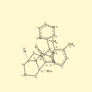 Cc1cccc(C(=O)N2[C@H]3COC[C@@H]2c2nnc(-c4cnccn4)n2C3)c1C